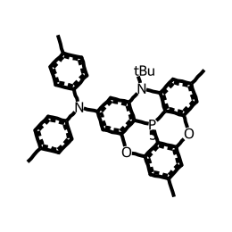 Cc1ccc(N(c2ccc(C)cc2)c2cc3c4c(c2)N(C(C)(C)C)c2cc(C)cc5c2P4(=S)c2c(cc(C)cc2O3)O5)cc1